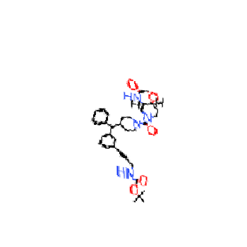 CC(C)(C)OC(=O)NCC#Cc1cccc(C(c2ccccc2)C2CCN(C(=O)N3CC[C@@H]4OCC(=O)N[C@@H]4C3)CC2)c1